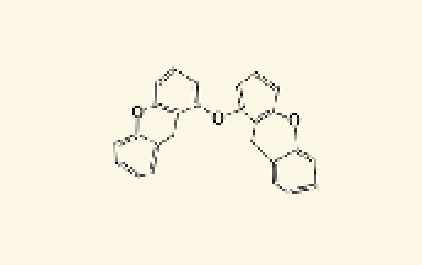 c1ccc2c(c1)Cc1c(cccc1Oc1cccc3c1Cc1ccccc1O3)O2